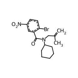 C=C(C)CN(C(=O)c1cc([N+](=O)[O-])ccc1Br)C1CCCCC1